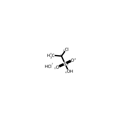 CC(Cl)S(=O)(=O)O.Cl